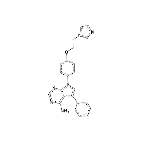 Nc1ncnc2c1c(-c1ccccc1)cn2-c1ccc(OCCn2ccnc2)cc1